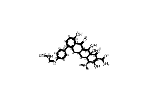 CN(C)C1C(O)=C(C(N)=O)C(=O)C2(O)C(O)=C3C(=O)c4c(O)ccc(-c5ccc(/N=C\NC(C)(C)C)cc5)c4CC3CC12